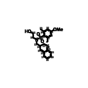 COc1cc(C)c(S(=O)(=O)N(CCO)CC2C=c3ccccc3=NC2)c(C)c1